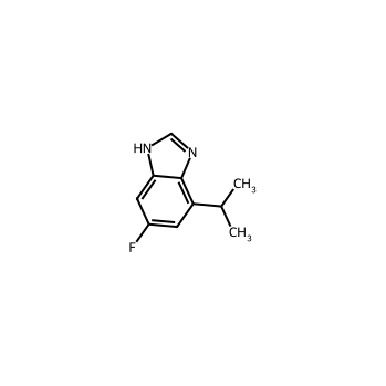 CC(C)c1cc(F)cc2[nH]cnc12